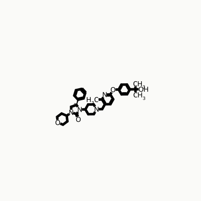 Cc1nc(Oc2ccc(C(C)(C)O)cc2)ccc1CN1CCC(N2C(=O)N(C3CCOCC3)C[C@H]2c2cc#ccc2)CC1